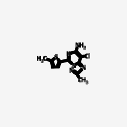 Cc1nc2c(Cl)c(N)nc(-c3ccc(C)s3)n2n1